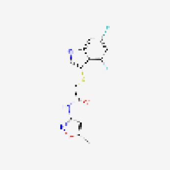 Cc1cc(NC(=O)CSc2c[nH]c3cc(F)cc(F)c23)no1